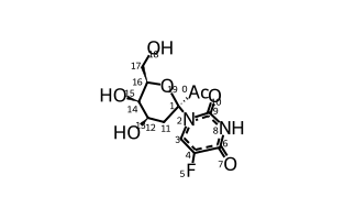 CC(=O)[C@]1(n2cc(F)c(=O)[nH]c2=O)C[C@@H](O)[C@@H](O)[C@@H](CO)O1